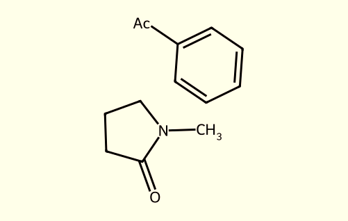 CC(=O)c1ccccc1.CN1CCCC1=O